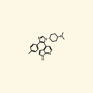 Cc1ccc(-c2ncn([C@H]3CC[C@H](N(C)C)CC3)c2-c2ccnc3[nH]ccc23)cc1